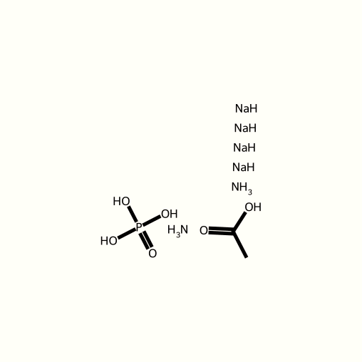 CC(=O)O.N.N.O=P(O)(O)O.[NaH].[NaH].[NaH].[NaH]